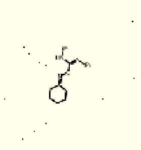 CC(C)/N=C(/NC(C)C)ON=C1CCCCC1